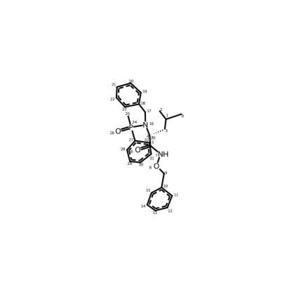 CC(C)C[C@H](C(=O)NOCc1ccccc1)N(Cc1ccccc1)P(C)(=O)c1ccccc1